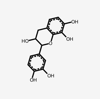 Oc1ccc(C2Oc3c(ccc(O)c3O)CC2O)cc1O